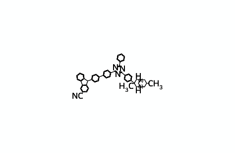 CC1C[C@@H]2C[C@H](C1)CC(C)(c1ccc(-c3nc(-c4ccccc4)nc(-c4ccc(-c5ccc(C6c7ccccc7-c7cc(C#N)ccc76)cc5)cc4)n3)cc1)C2